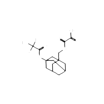 C=C(C)C(=O)OCC12CC3CC(C1)CC(OC(=O)C(C)(F)F)(C3)C2